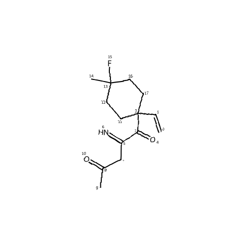 C=CC1(C(=O)C(=N)CC(C)=O)CCC(C)(F)CC1